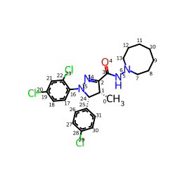 C[C@H]1C(C(=O)NN2CCCCCCC2)=NN(c2ccc(Cl)cc2Cl)[C@H]1c1ccc(Cl)cc1